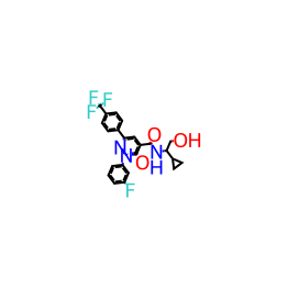 O=C(NC(CO)C1CC1)c1cc(-c2ccc(C(F)(F)F)cc2)nn(-c2cccc(F)c2)c1=O